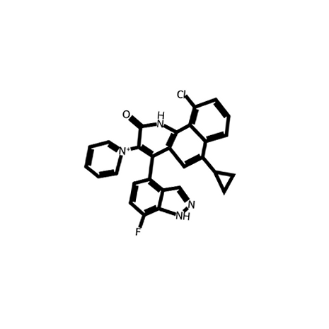 O=c1[nH]c2c(cc(C3CC3)c3cccc(Cl)c32)c(-c2ccc(F)c3[nH]ncc23)c1-[n+]1ccccc1